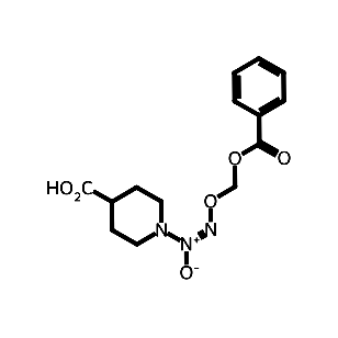 O=C(OCO/N=[N+](/[O-])N1CCC(C(=O)O)CC1)c1ccccc1